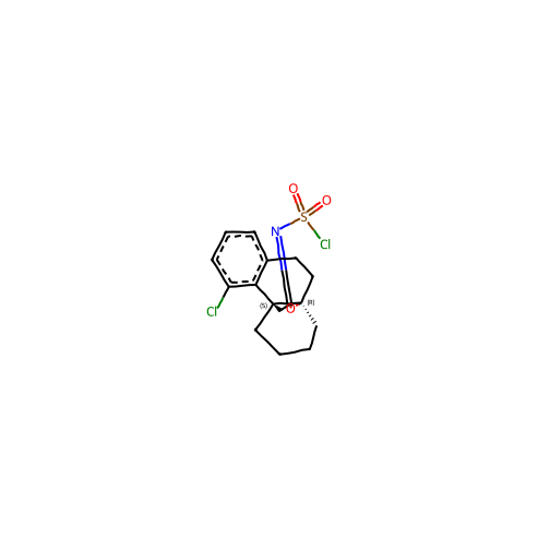 O=S(=O)(Cl)N=C1C[C@]23CCCC[C@]2(CCc2cccc(Cl)c23)O1